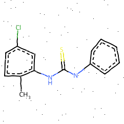 Cc1ccc(Cl)cc1NC(=S)[N]c1ccccc1